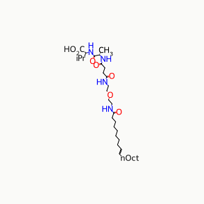 CCCCCCCCC=CCCCCCCCC(=O)NCCOCCNC(=O)CCC(=O)N[C@@H](C)C(=O)N[C@H](C(=O)O)C(C)C